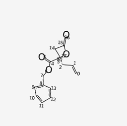 C=CC[C@]1(C(=O)OCc2ccccc2)CC(=O)O1